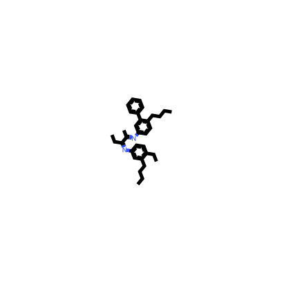 CCCCc1cc(N=C(CC)C(C)=Nc2ccc(CCCC)c(-c3ccccc3)c2)ccc1CC